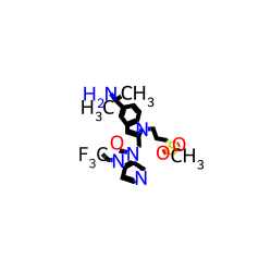 CC(C)(N)c1ccc2c(c1)cc(Cn1c(=O)n(CC(F)(F)F)c3ccncc31)n2CCCS(C)(=O)=O